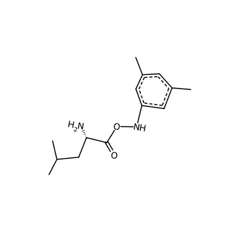 Cc1cc(C)cc(NOC(=O)[C@@H](N)CC(C)C)c1